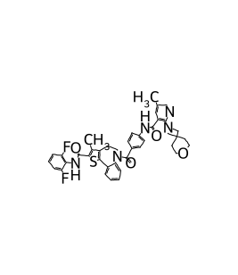 Cc1cnc(N2CC3(CCOCC3)C2)c(C(=O)Nc2ccc(C(=O)N3CCc4c(sc(C(=O)Nc5c(F)cccc5F)c4C)-c4ccccc43)cc2)c1